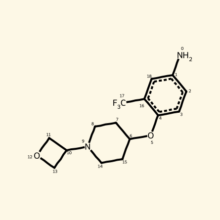 Nc1ccc(OC2CCN(C3COC3)CC2)c(C(F)(F)F)c1